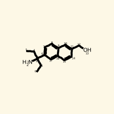 CCC(N)(CC)c1ccc2cc(CO)ccc2c1